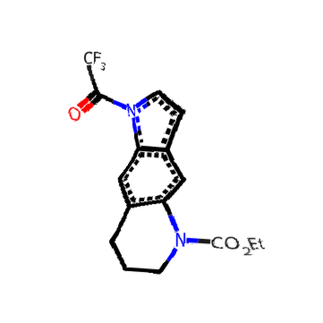 CCOC(=O)N1CCCc2cc3c(ccn3C(=O)C(F)(F)F)cc21